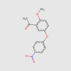 COc1ccc(Oc2ccc([N+](=O)[O-])cc2)cc1C(C)=O